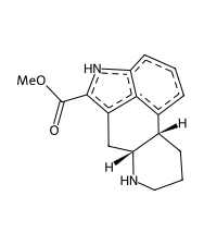 COC(=O)c1[nH]c2cccc3c2c1C[C@H]1NCCC[C@@H]31